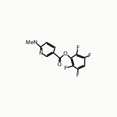 CNc1ccc(C(=O)Oc2c(F)c(F)cc(F)c2F)cn1